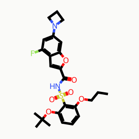 CCCOc1cccc(OC(C)(C)C)c1S(=O)(=O)NC(=O)c1cc2c(F)cc(N3CCC3)cc2o1